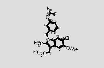 COc1cc2c(CC(=O)O)c(C)n(Cc3cccc(OC(F)F)c3)c2cc1Cl